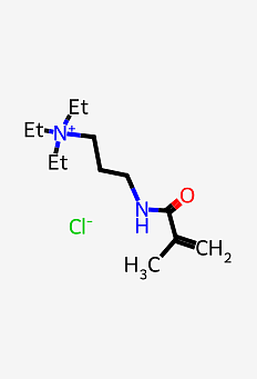 C=C(C)C(=O)NCCC[N+](CC)(CC)CC.[Cl-]